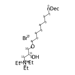 CCCCCCCCCCCCCCCCCCOCC(O)C[N+](CC)(CC)CC.[Br-]